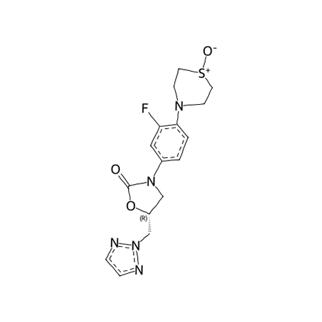 O=C1O[C@@H](Cn2nccn2)CN1c1ccc(N2CC[S+]([O-])CC2)c(F)c1